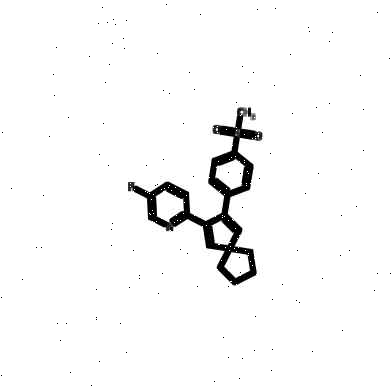 CS(=O)(=O)c1ccc(C2=CC3(C=C2c2ccc(F)cn2)CCCC3)cc1